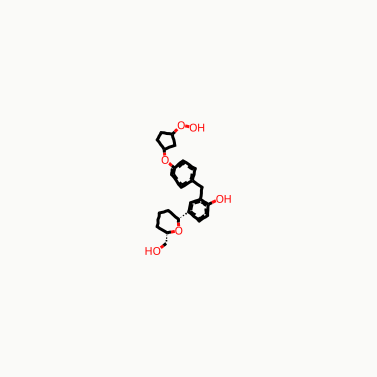 OC[C@@H]1CCC[C@H](c2ccc(O)c(Cc3ccc(OC4CCC(OO)C4)cc3)c2)O1